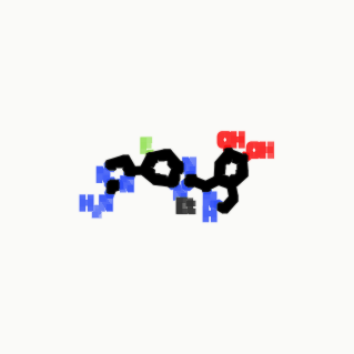 CCn1c(C2NCCc3cc(O)c(O)cc32)nc2cc(F)c(-c3ccnc(N)n3)cc21